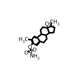 Cc1cc2c(cc1OS(N)(=O)=O)CCC1C2CC[C@]2(C)C(C)CCC12